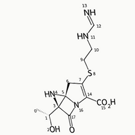 C[C@@H](O)[C@]12N[C@@]13CC(SCCNC=N)=C(C(=O)O)N3C2=O